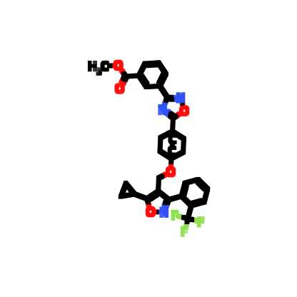 COC(=O)c1cccc(-c2noc(C34CCC(OCc5c(-c6ccccc6C(F)(F)F)noc5C5CC5)(CC3)CC4)n2)c1